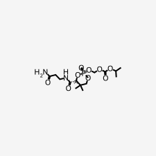 CC(C)OC(=O)OCO[P@@]1(=O)OCC(C)(C)[C@H](C(=O)NCCC(N)=O)O1